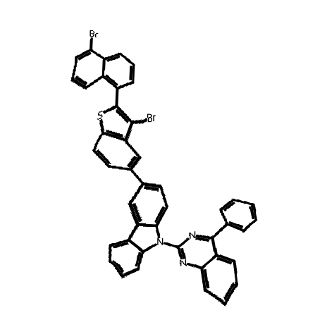 Brc1c(-c2cccc3c(Br)cccc23)sc2ccc(-c3ccc4c(c3)c3ccccc3n4-c3nc(-c4ccccc4)c4ccccc4n3)cc12